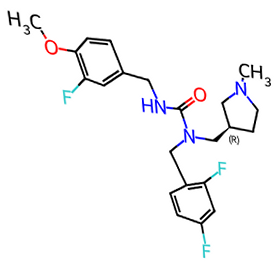 COc1ccc(CNC(=O)N(Cc2ccc(F)cc2F)C[C@@H]2CCN(C)C2)cc1F